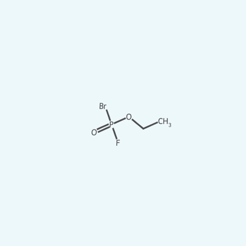 CCOP(=O)(F)Br